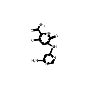 NC(=O)c1[nH]c(=O)c(Nc2cc(N)ncn2)cc1Cl